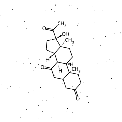 CC(=O)[C@@]1(O)CC[C@H]2[C@@H]3C(=O)CC4CC(=O)CC[C@]4(C)[C@H]3CC[C@@]21C